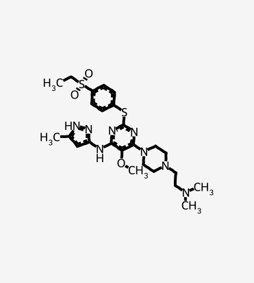 CCS(=O)(=O)c1ccc(Sc2nc(Nc3cc(C)[nH]n3)c(OC)c(N3CCN(CCN(C)C)CC3)n2)cc1